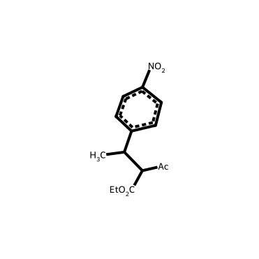 CCOC(=O)C(C(C)=O)C(C)c1ccc([N+](=O)[O-])cc1